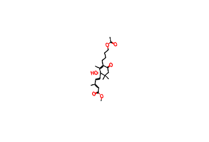 COC(=O)C=C(C)C=C[C@@]1(O)C(C)=C(CCCCOC(C)=O)C(=O)CC1(C)C